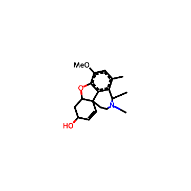 COc1cc(C)c2c3c1OC1CC(O)C=CC31CCN(C)C2C